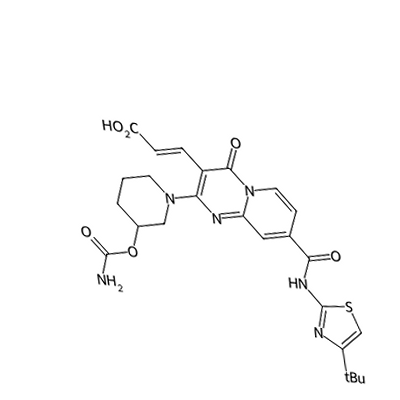 CC(C)(C)c1csc(NC(=O)c2ccn3c(=O)c(C=CC(=O)O)c(N4CCCC(OC(N)=O)C4)nc3c2)n1